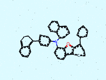 C1=c2ccccc2=C(c2ccc(N(c3cccc4ccccc34)c3cccc4c3oc3c(-c5ccccc5)cccc34)cc2)CC1